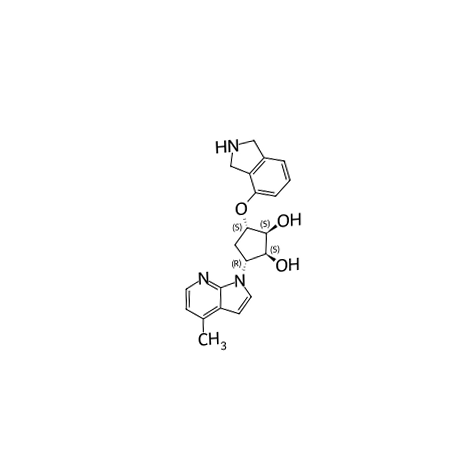 Cc1ccnc2c1ccn2[C@@H]1C[C@H](Oc2cccc3c2CNC3)[C@@H](O)[C@H]1O